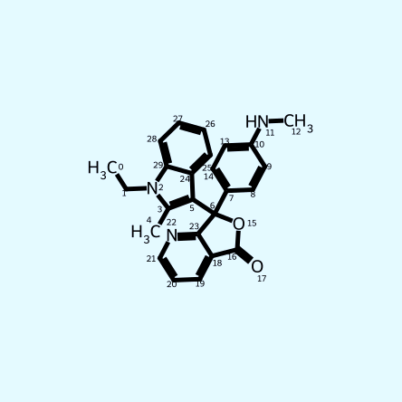 CCn1c(C)c(C2(c3ccc(NC)cc3)OC(=O)c3cccnc32)c2ccccc21